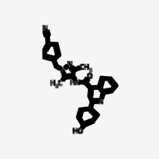 Cc1nn(Cc2ccc(C#N)cc2)c(C)c1NC(=O)c1cc(-c2ccc(O)cc2)nc2ccccc12